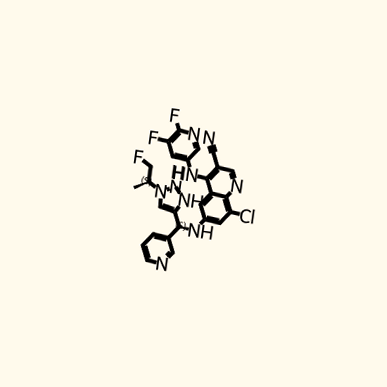 C[C@@H](CF)N1C=C([C@@H](Nc2cc(Cl)c3ncc(C#N)c(Nc4cnc(F)c(F)c4)c3c2)c2cccnc2)NN1